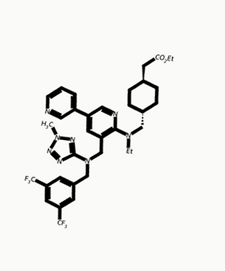 CCOC(=O)C[C@H]1CC[C@H](CN(CC)c2ncc(-c3cccnc3)cc2CN(Cc2cc(C(F)(F)F)cc(C(F)(F)F)c2)c2nnn(C)n2)CC1